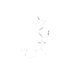 CCN(C1CNCCO1)S(=O)(=O)c1ccc2c(c1)CC(=O)N2